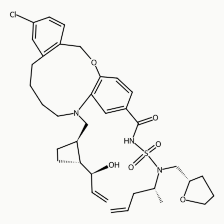 C=CC[C@@H](C)N(C[C@@H]1CCCO1)S(=O)(=O)NC(=O)c1ccc2c(c1)N(C[C@@H]1CC[C@H]1[C@@H](O)C=C)CCCCc1cc(Cl)ccc1CO2